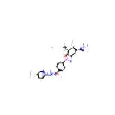 CC(C)c1cc(C#N)cc2nc(-c3ccc(C(=O)NCc4ccc(Br)cc4)cc3)oc12